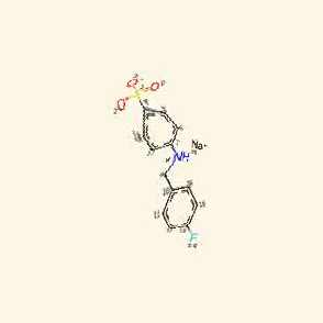 O=S(=O)([O-])c1ccc(NCc2ccc(F)cc2)cc1.[Na+]